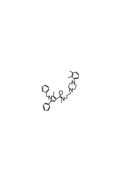 Cc1cccc(N2CCN(CCCN(C)C(=O)c3cc(-c4ccccc4)n(Cc4ccccc4)c3C)CC2)c1C